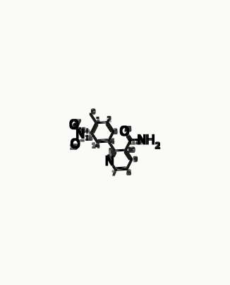 Cc1ccc(-c2ncccc2C(N)=O)cc1[N+](=O)[O-]